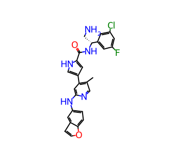 Cc1cnc(Nc2ccc3occc3c2)cc1-c1c[nH]c(C(=O)N[C@H](CN)c2cc(F)cc(Cl)c2)c1